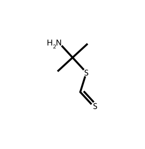 CC(C)(N)SC=S